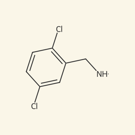 [NH]Cc1cc(Cl)ccc1Cl